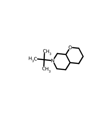 CC(C)(C)N1CCC2CCCOC2C1